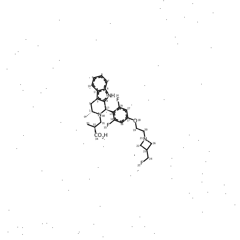 C[C@@H]1Cc2c([nH]c3ccccc23)[C@@H](c2c(F)cc(OCCN3CC(CF)C3)cc2F)N1C[C@H](C)C(=O)O